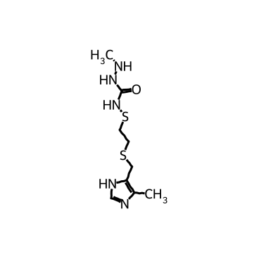 CNNC(=O)NSCCSCc1[nH]cnc1C